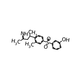 CC(=N)CC(C)c1ccc(S(=O)(=O)c2cccc(O)c2)cc1C